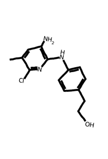 Cc1cc(N)c(Nc2ccc(CCO)cc2)nc1Cl